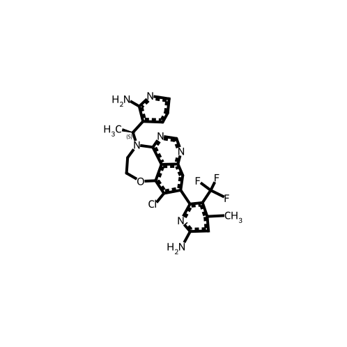 Cc1cc(N)nc(-c2cc3ncnc4c3c(c2Cl)OCCN4[C@@H](C)c2cccnc2N)c1C(F)(F)F